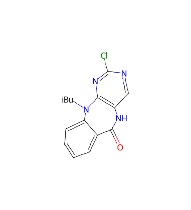 CCC(C)N1c2ccccc2C(=O)Nc2cnc(Cl)nc21